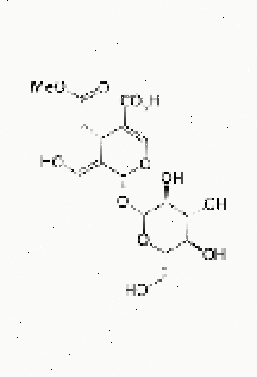 COC(=O)C[C@@H]1C(C(=O)O)=CO[C@H](O[C@H]2O[C@@H](CO)[C@H](O)[C@@H](O)[C@@H]2O)/C1=C/O